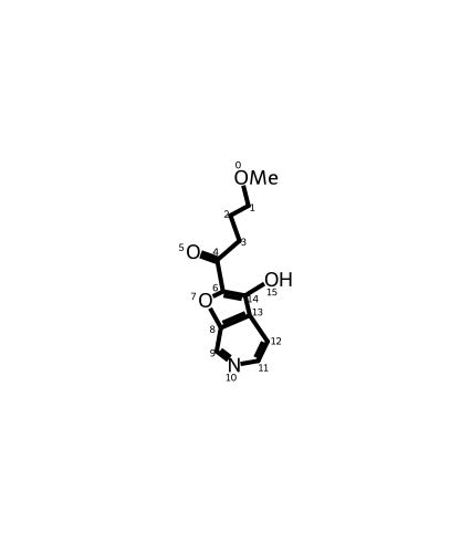 COCCCC(=O)c1oc2cnccc2c1O